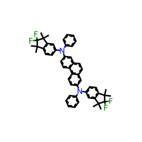 CC1(C)c2ccc(N(c3ccccc3)c3ccc4c(ccc5cc(N(c6ccccc6)c6ccc7c(c6)C(C)(C)C(F)(F)C7(C)C)ccc54)c3)cc2C(C)(C)C1(F)F